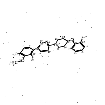 COc1c(F)ccc(-c2ccc(N3CCC(Oc4ccccc4F)CC3)nn2)c1F